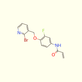 C=CC(=O)Nc1ccc(OCc2cccnc2Br)c(F)c1